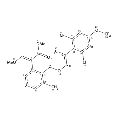 CO/C=C(/C(=O)OC)c1cccc(C)c1CO/N=C(\C)c1c(Cl)cc(OC(F)(F)F)cc1Cl